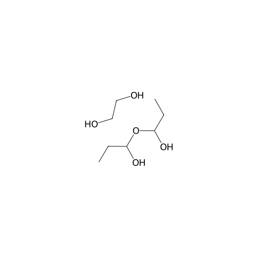 CCC(O)OC(O)CC.OCCO